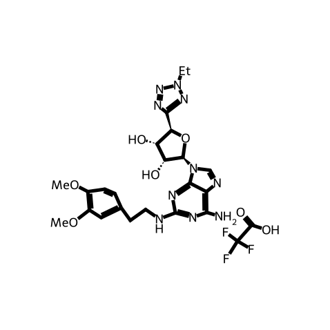 CCn1nnc([C@H]2O[C@@H](n3cnc4c(N)nc(NCCc5ccc(OC)c(OC)c5)nc43)[C@H](O)[C@@H]2O)n1.O=C(O)C(F)(F)F